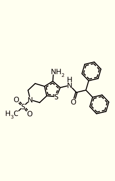 CS(=O)(=O)N1CCc2c(sc(NC(=O)C(c3ccccc3)c3ccccc3)c2N)C1